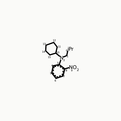 CC(C)CN(c1ccccc1[N+](=O)[O-])C1CCCCC1